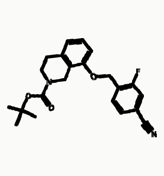 CC(C)(C)OC(=O)N1CCc2cccc(OCc3ccc(C#N)cc3F)c2C1